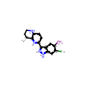 C[C@@H]1CCNc2ccc(-c3n[nH]c4cc(F)c(P)cc34)nc21